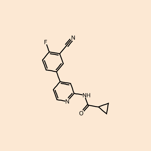 N#Cc1cc(-c2ccnc(NC(=O)C3CC3)c2)ccc1F